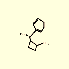 CC1CCC1[C@@H](C)c1ccccc1